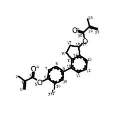 C=C(C)C(=O)Oc1ccc(-c2cccc3c2CCC3OC(=O)C(=C)C)cc1F